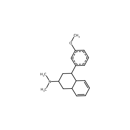 COc1cccc(C2CC(N(C)C)CC3C=CC=CC32)c1